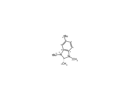 C[C@H]1N(C)c2ccc(C(C)(C)C)cc2N1C(C)(C)C